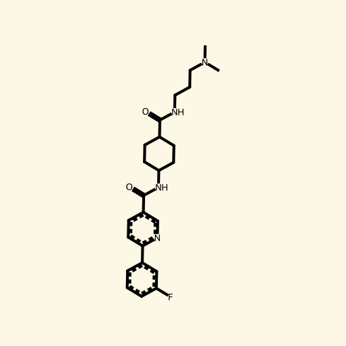 CN(C)CCCNC(=O)C1CCC(NC(=O)c2ccc(-c3cccc(F)c3)nc2)CC1